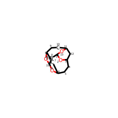 B1C2OC3CCC4CC(CCC(C3)O2)OC1O4